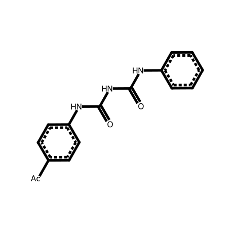 CC(=O)c1ccc(NC(=O)NC(=O)Nc2ccccc2)cc1